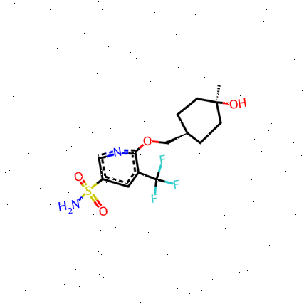 C[C@]1(O)CC[C@@H](COc2ncc(S(N)(=O)=O)cc2C(F)(F)F)CC1